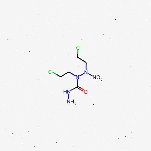 NNC(=O)N(CCCl)N(CCCl)[N+](=O)[O-]